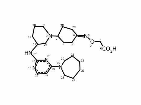 O=C(O)CON=C1CCC(N2CCCC(Nc3nccc(N4CCCCCC4)n3)C2)CC1